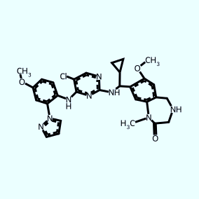 COc1ccc(Nc2nc(NC(c3cc4c(cc3OC)CNCC(=O)N4C)C3CC3)ncc2Cl)c(-n2cccn2)c1